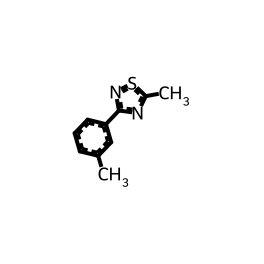 Cc1cccc(-c2nsc(C)n2)c1